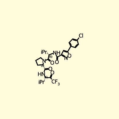 CC(C)[C@H](NC(=O)c1cc(-c2ccc(Cl)cc2)on1)C(=O)N1CCC[C@H]1C(=O)N[C@H](C(=O)C(F)(F)F)C(C)C